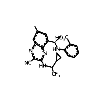 Cc1cc([C@@H](C)Nc2ccccc2C(=O)O)c2nc(NC(C3CC3)C(F)(F)F)c(C#N)nc2c1